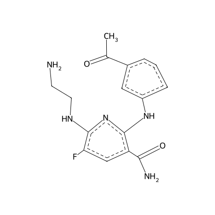 CC(=O)c1cccc(Nc2nc(NCCN)c(F)cc2C(N)=O)c1